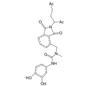 CC(=O)CCC(C(C)=O)N1C(=O)c2cccc(CN(C)C(=O)Nc3ccc(O)c(O)c3)c2C1=O